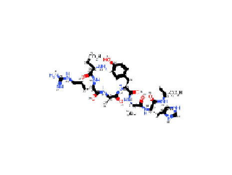 CC[C@H](C)[C@H](NC(=O)[C@H](Cc1ccc(O)cc1)NC(=O)[C@@H](NC(=O)[C@H](CCCNC(=N)N)NC(=O)[C@@H](N)CC(=O)O)C(C)C)C(=O)N[C@@H](Cc1c[nH]cn1)C(=O)N[C@H](C)C(=O)O